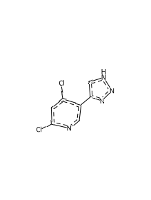 Clc1cc(Cl)c(-c2c[nH]nn2)cn1